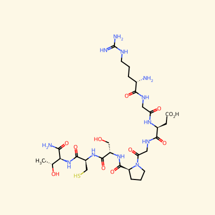 C[C@@H](O)[C@H](NC(=O)[C@H](CS)NC(=O)[C@H](CO)NC(=O)[C@@H]1CCCN1C(=O)CNC(=O)[C@H](CC(=O)O)NC(=O)CNC(=O)[C@@H](N)CCCNC(=N)N)C(N)=O